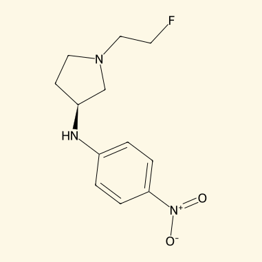 O=[N+]([O-])c1ccc(N[C@H]2CCN(CCF)C2)cc1